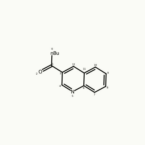 CCCCC(=O)c1cnc2ccccc2c1